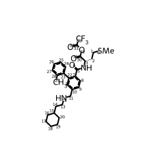 CSCC[C@H](NC(=O)c1ccc(CNCCC2CCCCC2)cc1-c1ccccc1C)C(=O)OC(=O)C(F)(F)F